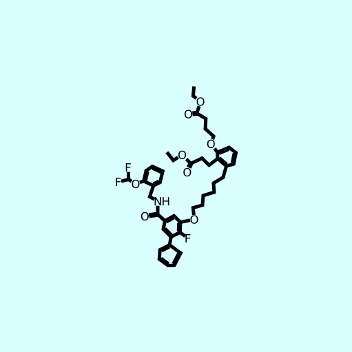 CCOC(=O)CCCOc1cccc(CCCCCCOc2cc(C(=O)NCc3ccccc3OC(F)F)cc(-c3ccccc3)c2F)c1CCC(=O)OCC